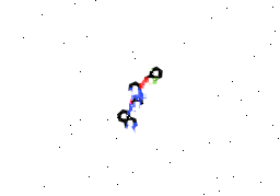 Cc1nc2c(OCc3c(F)cccc3F)cccn2c1C(=O)Nc1cccc2cnccc12